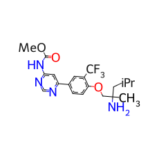 COC(=O)Nc1cc(-c2ccc(OCC(C)(N)CC(C)C)c(C(F)(F)F)c2)ncn1